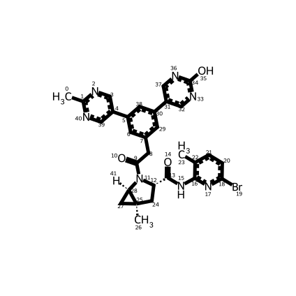 Cc1ncc(-c2cc(CC(=O)N3[C@H](C(=O)Nc4nc(Br)ccc4C)C[C@@]4(C)C[C@@H]34)cc(-c3cnc(O)nc3)c2)cn1